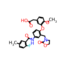 COc1ccc(CC(=O)O)cc1Oc1ccc(NC(=O)c2cc(C)ccc2F)cc1CN1CCOC1=O